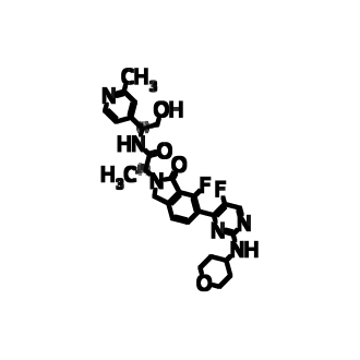 Cc1cc([C@@H](CO)NC(=O)[C@@H](C)N2Cc3ccc(-c4nc(NC5CCOCC5)ncc4F)c(F)c3C2=O)ccn1